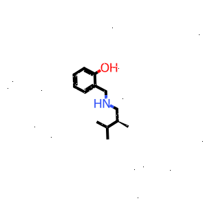 CC(C)[C@H](C)CNCc1ccccc1O